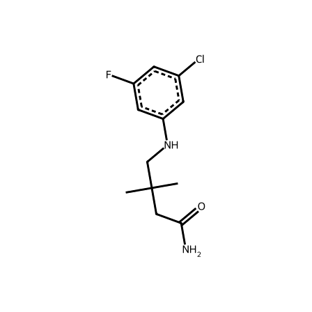 CC(C)(CNc1cc(F)cc(Cl)c1)CC(N)=O